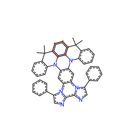 CC1(C)c2ccccc2N(c2cc3c(cc2N2c4ccccc4C(C)(C)c4ccccc42)n2c(-c4ccccc4)cnc2c2ncc(-c4ccccc4)n32)c2ccccc21